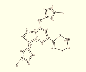 Cc1ncc(Nc2nc(C3=CCCNC3)cn3c(-c4cnn(C)c4)cnc23)s1